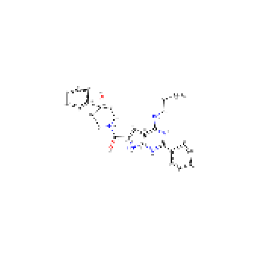 CC(=O)NCCNc1nc(-c2ccccc2)nc2[nH]c(C(=O)N3CCC(O)(c4ccccc4)CC3)cc12